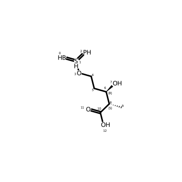 B=[SH](=P)OCC[C@@H](O)[C@H](C)C(=O)O